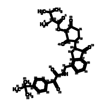 CC(C)[C@@H](N)C(=O)ON1C(=O)CCC(N2Cc3c(CNC(=O)C(=O)c4ccc(C(C)(C)C)cc4)cccc3C2=O)C1=O